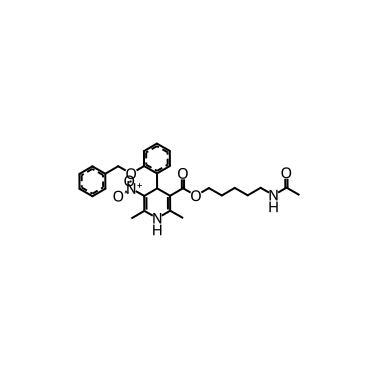 CC(=O)NCCCCCOC(=O)C1=C(C)NC(C)=C([N+](=O)[O-])C1c1ccccc1OCc1ccccc1